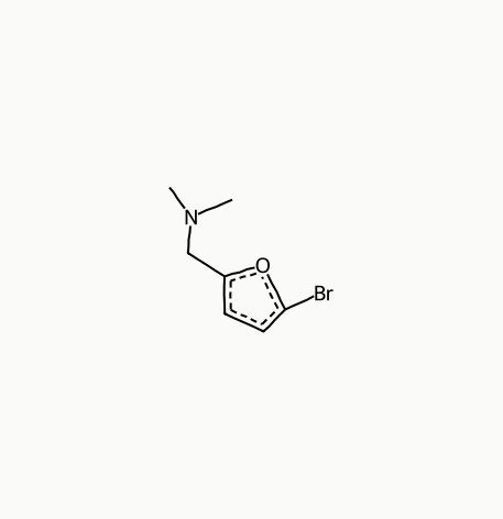 CN(C)Cc1ccc(Br)o1